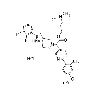 CCCOc1ccc(-c2ccc(C(C(=O)OCCCN(C)C)N3Cc4nc(-c5cccc(F)c5F)[nH]c4C=N3)cn2)c(C(F)(F)F)c1.Cl